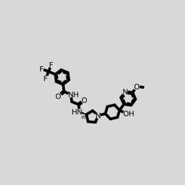 COc1ccc(C2(O)CCC(N3CC[C@@H](NC(=O)CNC(=O)c4cccc(C(F)(F)F)c4)C3)CC2)cn1